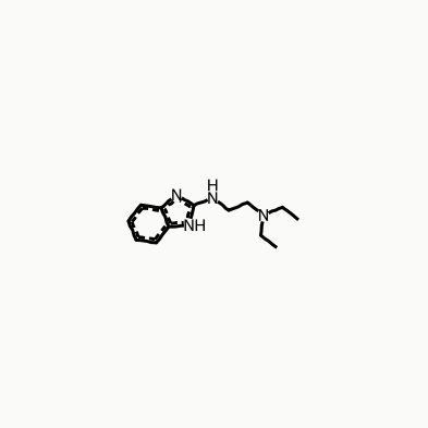 CCN(CC)CCNc1nc2ccccc2[nH]1